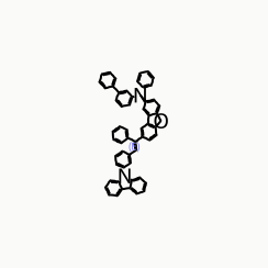 C(=C(/c1ccccc1)c1ccc2oc3ccc(N(c4ccccc4)c4cccc(-c5ccccc5)c4)cc3c2c1)/c1cccc(-n2c3ccccc3c3ccccc32)c1